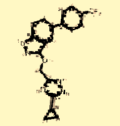 FC(F)(F)c1ccc(-c2ccc3onc(OCc4nnc(C5CC5)o4)c3c2)cc1